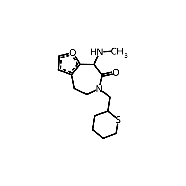 CNC1C(=O)N(CC2CCCCS2)CCc2ccoc21